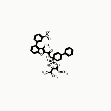 COC(=O)[C@@H](NS(=O)(=O)C1(NC(=O)c2oc3cccc(-c4cccc([N+](=O)[O-])c4)c3c2C)C=CC(c2ccccc2)=CC1)C(C)C